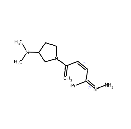 C=C(/C=C\C(=N/N)C(C)C)N1CCC(N(C)C)C1